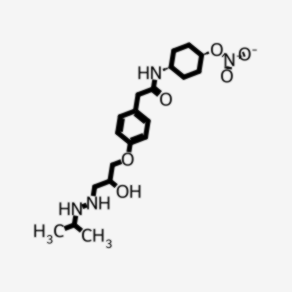 CC(C)NNCC(O)COc1ccc(CC(=O)N[C@H]2CC[C@@H](O[N+](=O)[O-])CC2)cc1